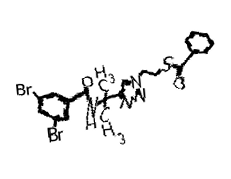 CC(C)(NC(=O)c1cc(Br)cc(Br)c1)c1cn(CCSC(=O)c2ccccc2)nn1